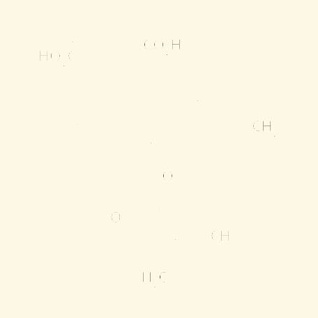 C=CCc1c(OC(=O)C(=C)C)ccc(C(=O)O)c1C(=O)O